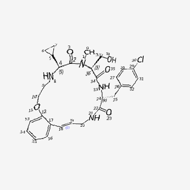 CN1C(=O)[C@H](C2CC2)NCCOc2ccccc2/C=C/CNC(=O)[C@@H](Cc2ccc(Cl)cc2)NC(=O)[C@@H]1CO